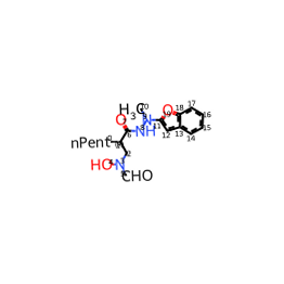 CCCCC[C@H](CN(O)C=O)C(=O)NN(C)c1cc2ccccc2o1